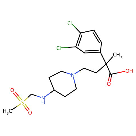 CC(CCN1CCC(NCS(C)(=O)=O)CC1)(C(=O)O)c1ccc(Cl)c(Cl)c1